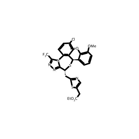 CCOC(=O)Cc1cnc(C[C@H]2S[C@H](c3cccc(OC)c3OC)c3cc(Cl)ccc3-n3c2nnc3C(F)(F)F)s1